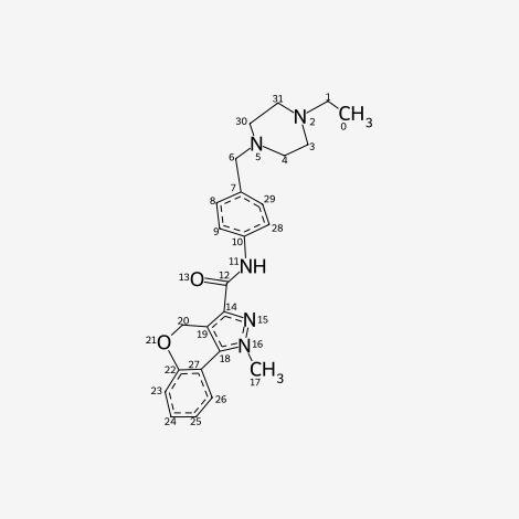 CCN1CCN(Cc2ccc(NC(=O)c3nn(C)c4c3COc3ccccc3-4)cc2)CC1